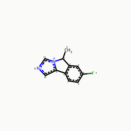 CC1c2cc(F)ccc2-c2cncn21